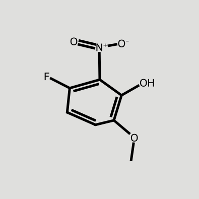 COc1[c]cc(F)c([N+](=O)[O-])c1O